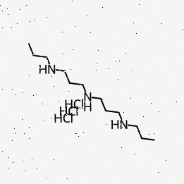 CCCNCCCNCCCNCCC.Cl.Cl.Cl